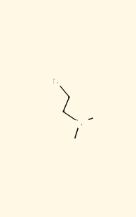 C[N+](C)CCN